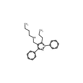 CCCCNCc1c(-c2ccccc2)nn(-c2ccccc2)c1CCC